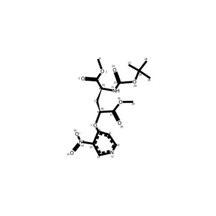 COC(=O)[C@H](C[C@H](Oc1ccncc1[N+](=O)[O-])C(=O)OC)NC(=O)OC(C)(C)C